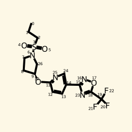 CCCS(=O)(=O)N1CC[C@H](Oc2ccc(-c3noc(C(F)(F)F)n3)cn2)C1